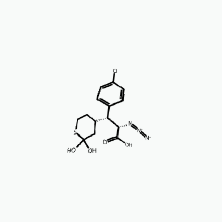 [N-]=[N+]=N[C@H](C(=O)O)[C@@H](c1ccc(Cl)cc1)C1CCSC(O)(O)C1